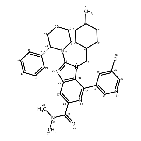 CC1CCC(Cn2c(N3CCOC[C@H]3c3ccccc3)nc3cc(C(=O)N(C)C)nc(-c4cncc(Cl)c4)c32)CC1